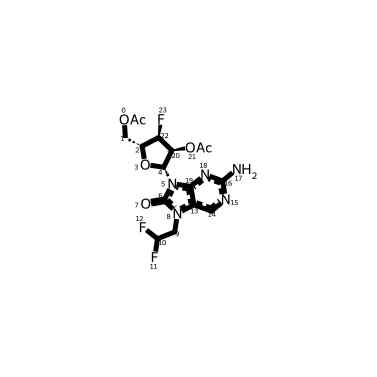 CC(=O)OC[C@H]1O[C@@H](n2c(=O)n(CC(F)F)c3cnc(N)nc32)[C@H](OC(C)=O)[C@@H]1F